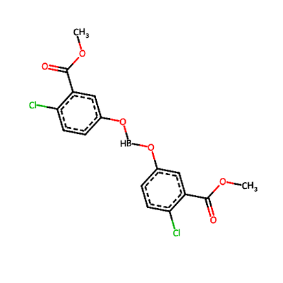 COC(=O)c1cc(OBOc2ccc(Cl)c(C(=O)OC)c2)ccc1Cl